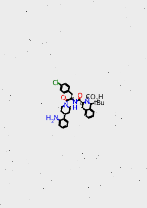 CC(C)(C)C1c2ccccc2C[C@@H](C(=O)N[C@H](Cc2ccc(Cl)cc2)C(=O)N2CCC(c3ccccc3N)CC2)N1C(=O)O